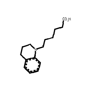 O=C(O)CCCCCN1CCCc2ccccc21